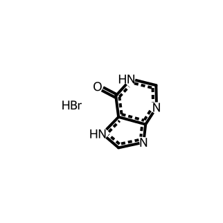 Br.O=c1[nH]cnc2nc[nH]c12